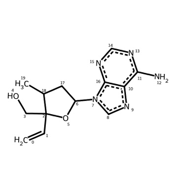 C=CC1(CO)OC(n2cnc3c(N)ncnc32)CC1C